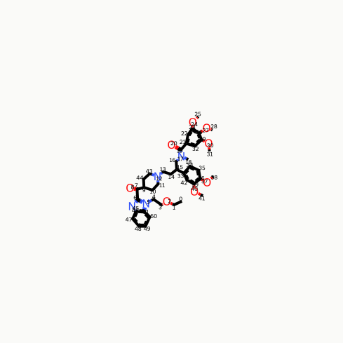 CCOCCn1c(C(=O)C2CCN(CCC(CN(C)C(=O)c3cc(OC)c(OC)c(OC)c3)c3ccc(OC)c(OC)c3)CC2)nc2ccccc21